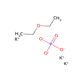 CCOCC.O=P([O-])([O-])[O-].[K+].[K+].[K+]